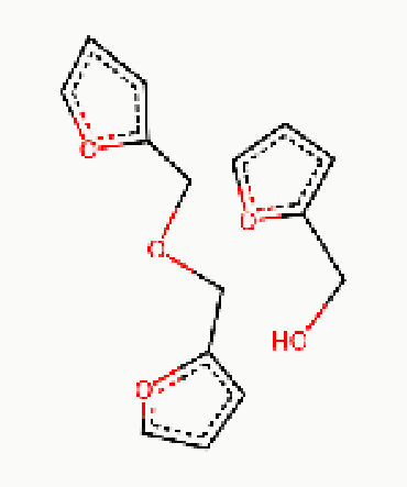 OCc1ccco1.c1coc(COCc2ccco2)c1